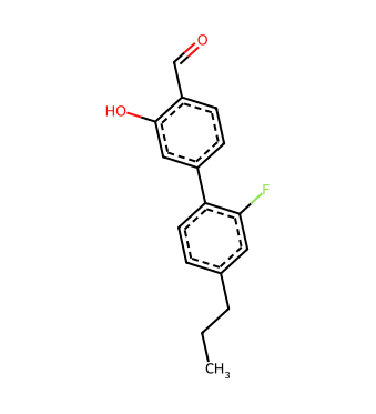 CCCc1ccc(-c2ccc(C=O)c(O)c2)c(F)c1